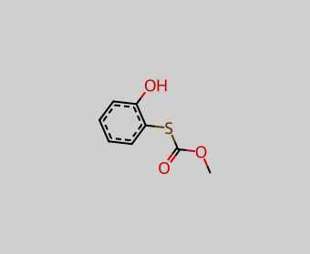 COC(=O)Sc1ccccc1O